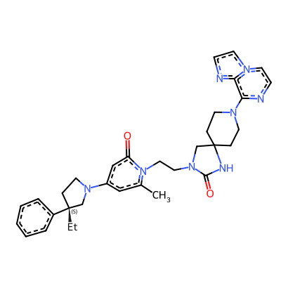 CC[C@@]1(c2ccccc2)CCN(c2cc(C)n(CCN3CC4(CCN(c5nccn6ccnc56)CC4)NC3=O)c(=O)c2)C1